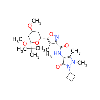 CO[C@H]1C[C@H](c2onc(C(=O)Nc3c(C)n(C)n(C4CCC4)c3=O)c2C)O[C@@](OC)(C(C)(C)C)C1